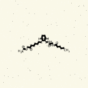 CCCCCC(=O)NCC(=O)NC[C@H]1[C@@H](CCCCCCC(=O)COC(C)=O)[C@H]2CC[C@@H]1O2